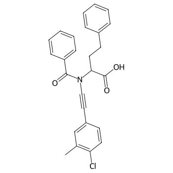 Cc1cc(C#CN(C(=O)c2ccccc2)C(CCc2ccccc2)C(=O)O)ccc1Cl